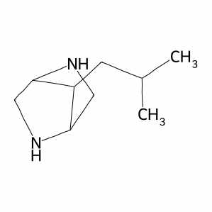 CC(C)CC1C2CNC1CN2